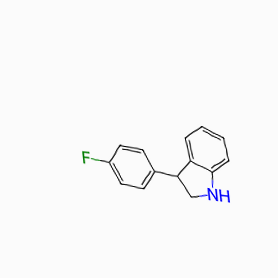 Fc1ccc(C2CNc3ccccc32)cc1